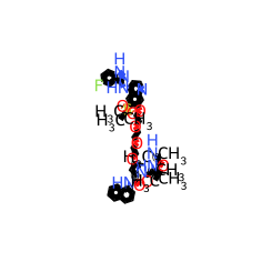 CN[C@@H](C)C(=O)N[C@H](C(=O)N1C[C@@H](OCCOCCOCCOc2cc3nccc(Nc4n[nH]c5ccc(F)cc45)c3cc2S(=O)(=O)C(C)(C)C)C[C@H]1C(=O)N[C@H]1CCCc2ccccc21)C(C)(C)C